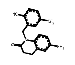 N#Cc1ccc(C(F)(F)F)cc1CN1C(=O)CCc2cc(N)ccc21